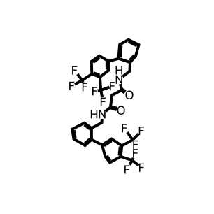 O=C(CC(=O)NCc1ccccc1-c1ccc(C(F)(F)F)c(C(F)(F)F)c1)NCc1ccccc1-c1ccc(C(F)(F)F)c(C(F)(F)F)c1